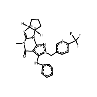 CN1C(=O)c2c(nn(Cc3ccc(C(F)(F)F)nc3)c2Nc2ccccc2)N2C1=N[C@@H]1CCC[C@@H]12